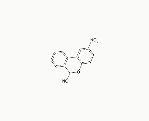 N#CC1Oc2ccc([N+](=O)[O-])cc2-c2ccccc21